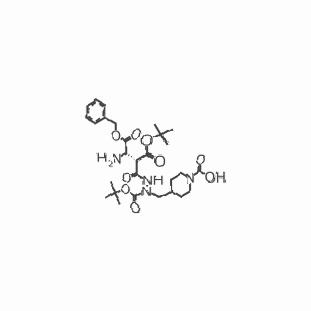 CC(C)(C)OC(=O)[C@H](C(=O)NN(CC1CCN(C(=O)O)CC1)C(=O)OC(C)(C)C)C(N)C(=O)OCc1ccccc1